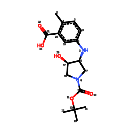 Cc1ccc(N[C@H]2CN(C(=O)OC(C)(C)C)C[C@H]2O)cc1C(=O)O